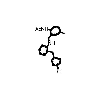 CC(=O)Nc1ccc(C)cc1CNc1ccccc1Cc1ccc(Cl)cc1